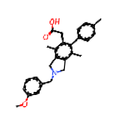 COc1cccc(CN2Cc3c(C)c(CC(=O)O)c(-c4ccc(C)cc4)c(C)c3C2)c1